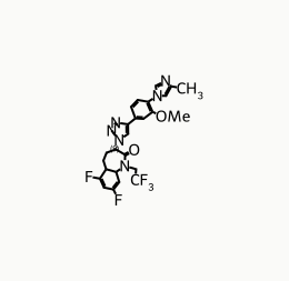 COc1cc(-c2cn([C@H]3CCC4C(F)=CC(F)=CC4N(CC(F)(F)F)C3=O)nn2)ccc1-n1cnc(C)c1